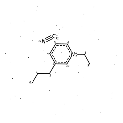 CCCc1ccc[n+](CC)c1.[C-]#N